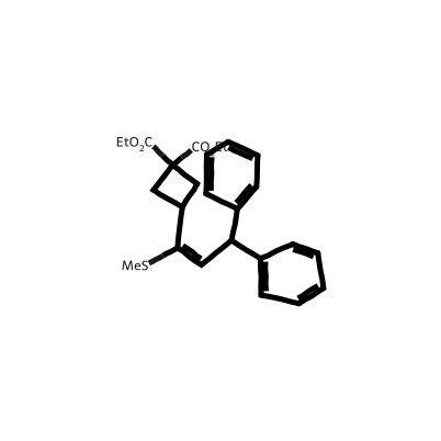 CCOC(=O)C1(C(=O)OCC)CC(/C(=C\C(c2ccccc2)c2ccccc2)SC)C1